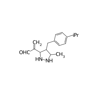 C=C(C=O)C1NNC(C)C1Cc1ccc(C(C)C)cc1